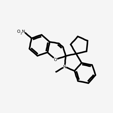 CN1c2ccccc2C2(CCCC2)C12C=Cc1cc([N+](=O)[O-])ccc1O2